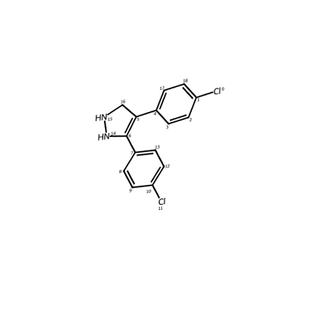 Clc1ccc(C2=C(c3ccc(Cl)cc3)NNC2)cc1